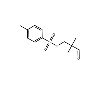 Cc1ccc(S(=O)(=O)OCC(C)(C)C=O)cc1